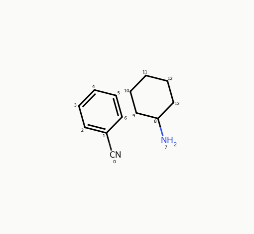 N#Cc1ccccc1.NC1CCCCC1